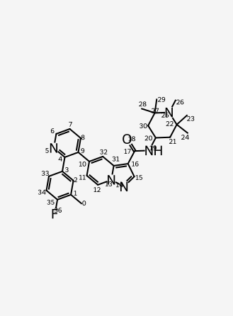 Cc1cc(-c2ncccc2-c2ccn3ncc(C(=O)NC4CC(C)(C)N(C)C(C)(C)C4)c3c2)ccc1F